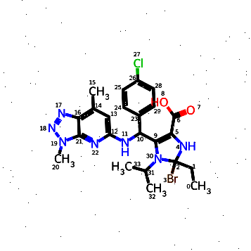 CCC1(Br)NC(C(=O)O)=C(C(Nc2cc(C)c3nnn(C)c3n2)c2ccc(Cl)cc2)N1C(C)C